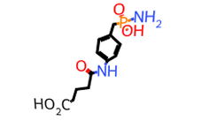 NP(=O)(O)Cc1ccc(NC(=O)CCCC(=O)O)cc1